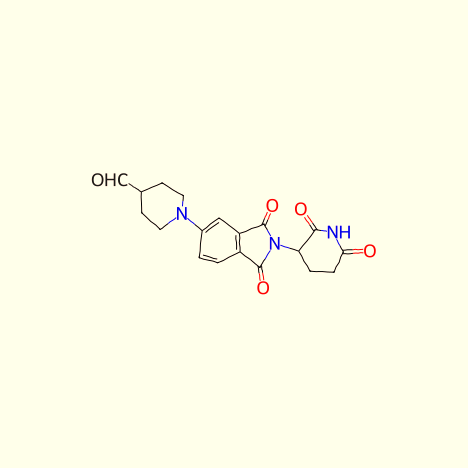 O=CC1CCN(c2ccc3c(c2)C(=O)N(C2CCC(=O)NC2=O)C3=O)CC1